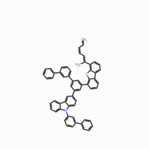 C=C/C=C\C=C(/C)c1cccc2c1sc1c(-c3cc(-c4cccc(-c5ccccc5)c4)cc(-c4ccc5c(c4)c4ccccc4n5-c4cccc(-c5ccccc5)c4)c3)cccc12